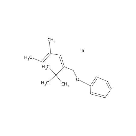 CC=C(C)C=C(COc1ccccc1)C(C)(C)C.[Ti]